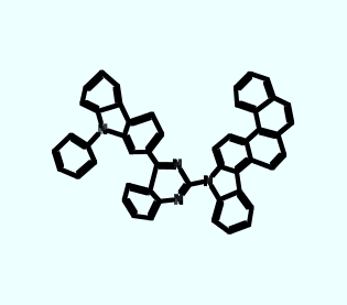 c1ccc(-n2c3ccccc3c3ccc(-c4nc(-n5c6ccccc6c6c7ccc8ccc9ccccc9c8c7ccc65)nc5ccccc45)cc32)cc1